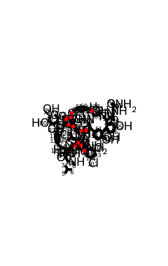 CN[C@H](CC(C)C)C(=O)N[C@H]1C(=O)N[C@@H](CC(N)=O)C(=O)N[C@H]2C(=O)N[C@H]3C(=O)N[C@H](C(=O)N[C@@H](C(=O)NNC(N)=O)c4cc(O)cc(O)c4-c4cc3ccc4O)[C@H](O)c3ccc(c(Cl)c3)Oc3cc2cc(c3O[C@@H]2O[C@H](CO)[C@@H](O)[C@H](O)[C@H]2O[C@H]2C[C@](C)(NCc3cncc(C(=O)Nc4cc(Cl)cc(Cl)c4)c3)[C@H](O)[C@H](C)O2)Oc2ccc(cc2Cl)[C@H]1O